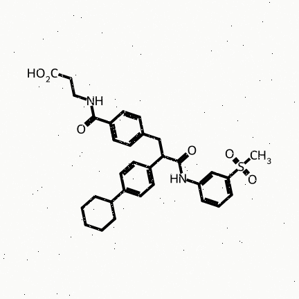 CS(=O)(=O)c1cccc(NC(=O)C(Cc2ccc(C(=O)NCCC(=O)O)cc2)c2ccc(C3CCCCC3)cc2)c1